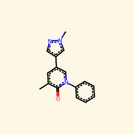 Cc1cc(-c2cnn(C)c2)cn(-c2ccccc2)c1=O